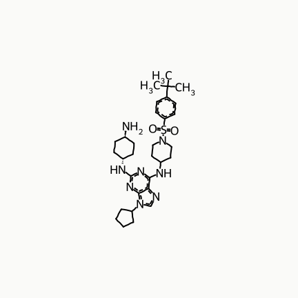 CC(C)(C)c1ccc(S(=O)(=O)N2CCC(Nc3nc(N[C@H]4CC[C@H](N)CC4)nc4c3ncn4C3CCCC3)CC2)cc1